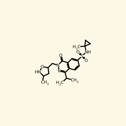 CC1CC(Cn2nc(C(C)C)c3ccc(S(=O)(=O)NC4(C)CC4)cc3c2=O)ON1